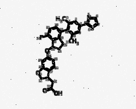 Cc1cc(-c2nccs2)cc(C)c1-c1ccc(F)c2c1CCC2Oc1ccc2c(c1)OCC2CC(=O)O